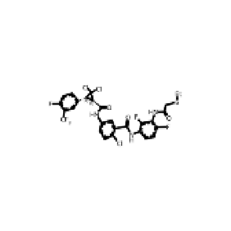 CCSCC(=O)Nc1c(F)ccc(NC(=O)c2cc(NC(=O)[C@H]3[C@H](c4ccc(F)c(C(F)(F)F)c4)C3(Cl)Cl)ccc2Cl)c1F